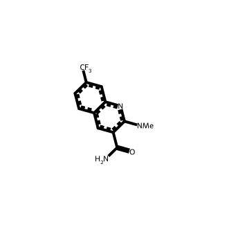 CNc1nc2cc(C(F)(F)F)ccc2cc1C(N)=O